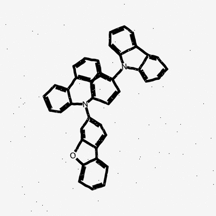 c1ccc(-c2ccccc2N(c2ccc(-n3c4ccccc4c4ccccc43)cc2)c2ccc3c(c2)oc2ccccc23)cc1